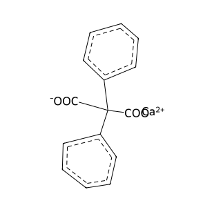 O=C([O-])C(C(=O)[O-])(c1ccccc1)c1ccccc1.[Ca+2]